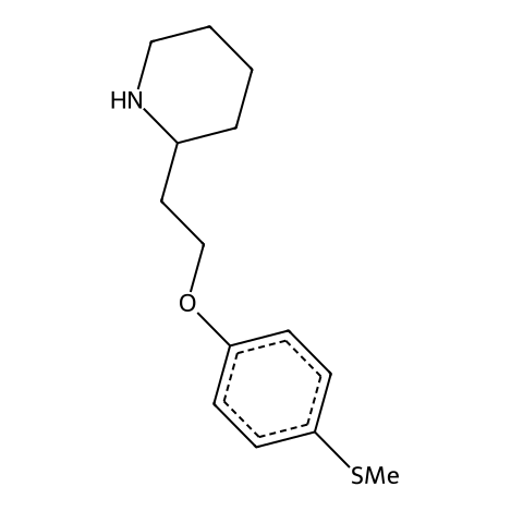 CSc1ccc(OCCC2CCCCN2)cc1